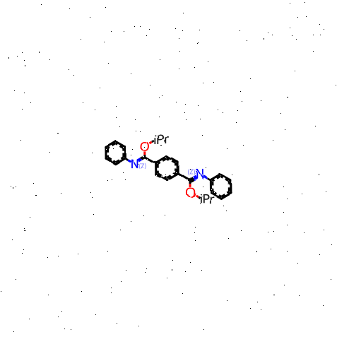 CC(C)O/C(=N\c1ccccc1)c1ccc(/C(=N/c2ccccc2)OC(C)C)cc1